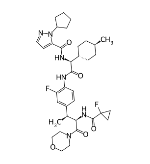 C[C@@H](c1ccc(NC(=O)[C@@H](NC(=O)c2ccnn2C2CCCC2)[C@H]2CC[C@H](C)CC2)c(F)c1)[C@@H](NC(=O)C1(F)CC1)C(=O)N1CCOCC1